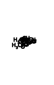 Cc1oc2ccc(OCc3cccnc3C(F)(F)F)c(C3(CN(C)C)CCC3)c2c1C(N)=O